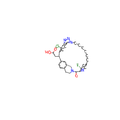 O=C(O)CC1c2ccc3c(c2)CN(CC3)C(=O)c2ncc(cc2F)CCCCCCn2nnc3c(Cl)c1ccc32